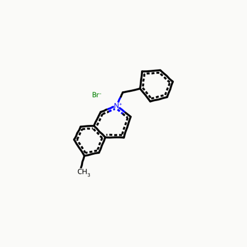 Cc1ccc2c[n+](Cc3ccccc3)ccc2c1.[Br-]